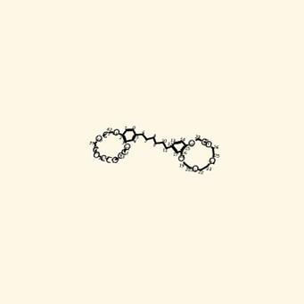 c1cc2c(cc1CCCCCCc1ccc3c(c1)OCCOCCOCCOCCO3)OCCOCCOCCOCCO2